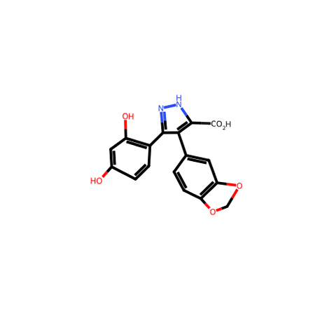 O=C(O)c1[nH]nc(-c2ccc(O)cc2O)c1-c1ccc2c(c1)OCO2